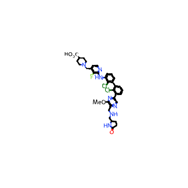 COc1nc(-c2cccc(-c3cccc(Nc4nccc(CN5CCC(C(=O)O)CC5)c4F)c3Cl)c2Cl)cnc1CNCC1CCC(=O)N1